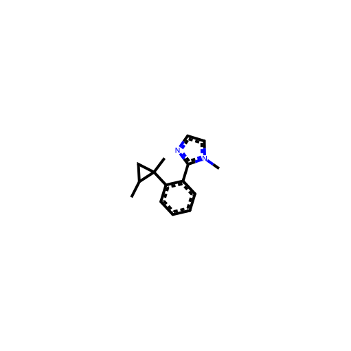 CC1CC1(C)c1ccccc1-c1nccn1C